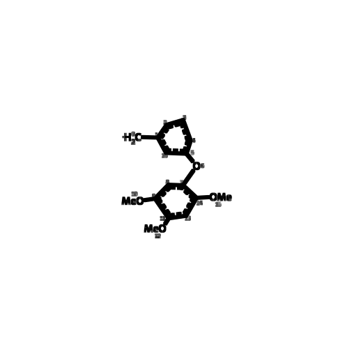 [CH2]c1cccc(Oc2cc(OC)c(OC)cc2OC)c1